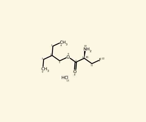 CCC(CC)COC(=O)[C@@H](N)CF.Cl